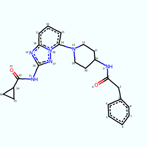 O=C(Cc1ccccc1)NC1CCN(c2cccc3nc(NC(=O)C4CC4)nn23)CC1